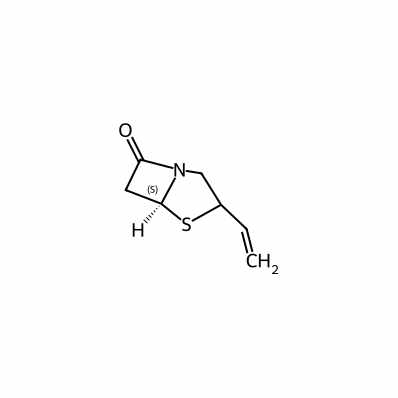 C=CC1CN2C(=O)C[C@@H]2S1